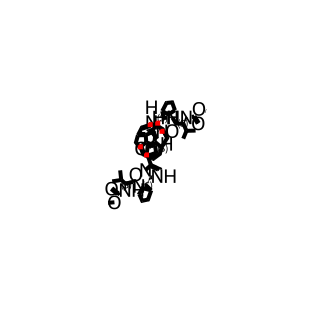 COC(=O)N[C@H](C(=O)N1C2CCC(C2)[C@H]1c1nc(C2=CC3=CC[C@@H]2CC[C@@H]2C=CC(=C(c4ccc(-c5c[nH]c([C@@H]6C7CCC(C7)N6C(=O)[C@@H](NC(=O)OC)C(C)C)n5)cc4)C2C)CC3)c[nH]1)C(C)C